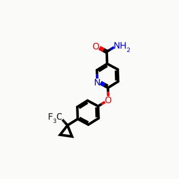 NC(=O)c1ccc(Oc2ccc(C3(C(F)(F)F)CC3)cc2)nc1